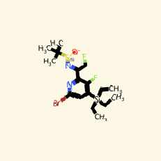 CC[Si](CC)(CC)c1cc(Br)nc(C(CF)=N[S@+]([O-])C(C)(C)C)c1F